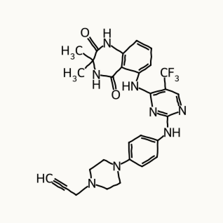 C#CCN1CCN(c2ccc(Nc3ncc(C(F)(F)F)c(Nc4cccc5c4C(=O)NC(C)(C)C(=O)N5)n3)cc2)CC1